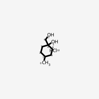 CC1CCC(O)(CO)CC1.Cl